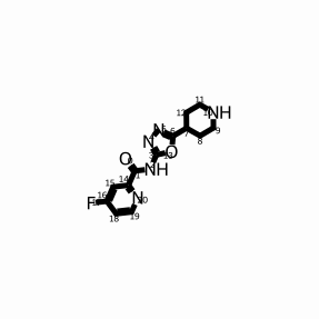 O=C(Nc1nnc(C2CCNCC2)o1)c1cc(F)ccn1